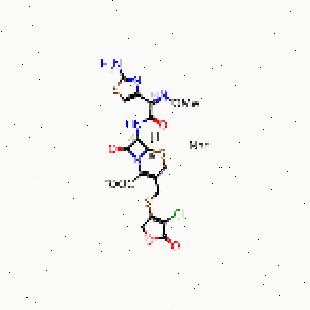 CO/N=C(\C(=O)N[C@@H]1C(=O)N2C(C(=O)[O-])=C(CSC3=C(Cl)C(=O)OC3)CS[C@H]12)c1csc(N)n1.[Na+]